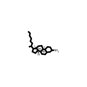 CCCCCCC(C)C1CC[C@H]2[C@@H]3CCC4CC(N)CC[C@]4(C)[C@@H]3CC[C@]12C